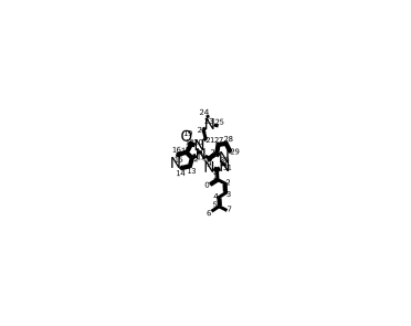 C=C(/C=C\C=C(C)C)c1nc(-n2c3ccncc3c(=O)n2CCN(C)C)c2cccn2n1